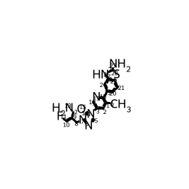 Cc1cc(-n2cnn(C/C(=C/F)CN)c2=O)cnc1-c1ccc2c(c1)NC(N)S2